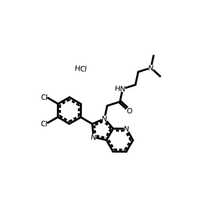 CN(C)CCNC(=O)Cn1c(-c2ccc(Cl)c(Cl)c2)nc2cccnc21.Cl